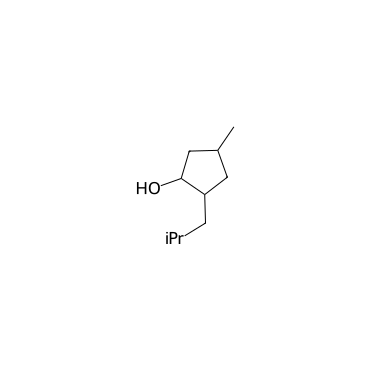 CC(C)CC1CC(C)CC1O